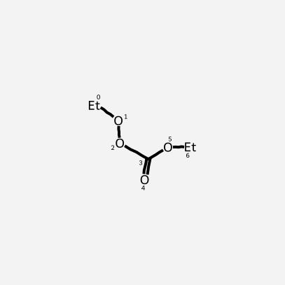 CCOOC(=O)OCC